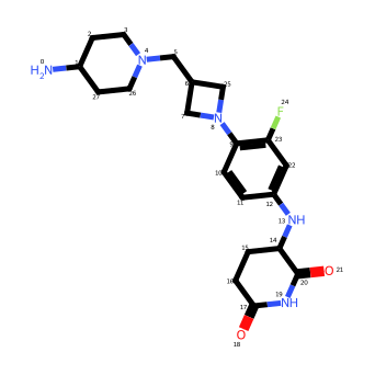 NC1CCN(CC2CN(c3ccc(NC4CCC(=O)NC4=O)cc3F)C2)CC1